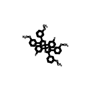 COc1cccc(C2=NC(c3cc(F)ccc3F)(C3(c4cc(F)ccc4F)N=C(c4cccc(OC)c4)C(c4cccc(OC)c4)=N3)N=C2c2cccc(OC)c2)c1